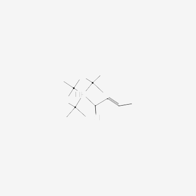 C/C=C/C(Cl)[PH](C(C)(C)C)(C(C)(C)C)C(C)(C)C